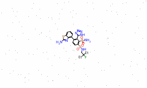 CCC(F)(CC)CNS(=O)(=O)c1ccc(-c2cccc3sc(N)nc23)c(-c2nnn[nH]2)c1S(N)(=O)=O